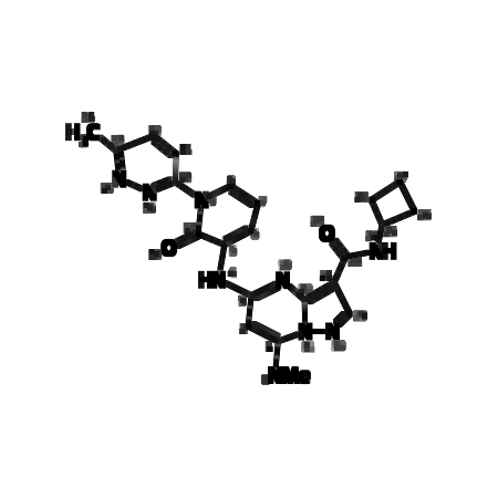 CNc1cc(Nc2cccn(-c3ccc(C)nn3)c2=O)nc2c(C(=O)NC3CCC3)cnn12